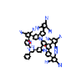 N#Cc1cc(C#N)c(-c2ccc3c(c2)c2cc(-c4c(C#N)cc(C#N)cc4C#N)ccc2n3-c2cccc(-c3cc(-c4cc(-c5ccccc5)nc(-c5ccccc5)n4)ccc3-n3c4ccc(-c5c(C#N)cc(C#N)cc5C#N)cc4c4cc(-c5c(C#N)cc(C#N)cc5C#N)ccc43)c2)c(C#N)c1